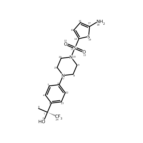 C[C@](O)(c1ccc(N2CCN(S(=O)(=O)c3ccc(N)s3)CC2)cc1)C(F)(F)F